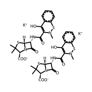 CN1Sc2ccccc2C(O)=C1C(=O)N[C@@H]1C(=O)N2[C@@H]1SC(C)(C)[C@@H]2C(=O)[O-].CN1Sc2ccccc2C(O)=C1C(=O)N[C@@H]1C(=O)N2[C@@H]1SC(C)(C)[C@@H]2C(=O)[O-].[K+].[K+]